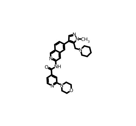 Cn1ncc(-c2ccc3cnc(NC(=O)c4ccnc(N5CCOCC5)c4)cc3c2)c1CN1CCCCC1